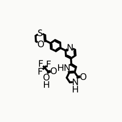 O=C(O)C(F)(F)F.O=C1NCCc2[nH]c(-c3ccnc(-c4ccc(C5=CSCCO5)cc4)c3)cc21